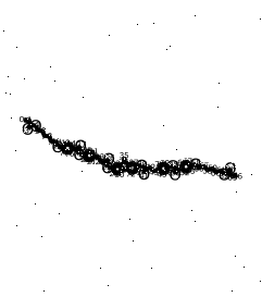 C=CC(=O)OCCCCCCOc1ccc(C(=O)Oc2ccc(CCC(=O)Oc3ccc4c(c3)C(C)c3cc(OC(=O)CCc5ccc(OC(=O)c6ccc(OCCCCCCOC(=O)C=C)cc6)cc5)ccc3-4)cc2)cc1